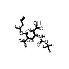 C=CCC(C)Oc1nc(C(=O)O)c(NC(=O)OC(C)(C)C)cc1C(F)F